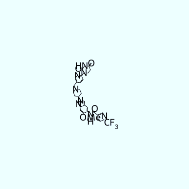 COc1cc2nn(C3CCN(Cc4ccc(N5CCC(=O)NC5=O)nc4)CC3)cc2cc1NC(=O)c1ccc(C(F)(F)F)nc1